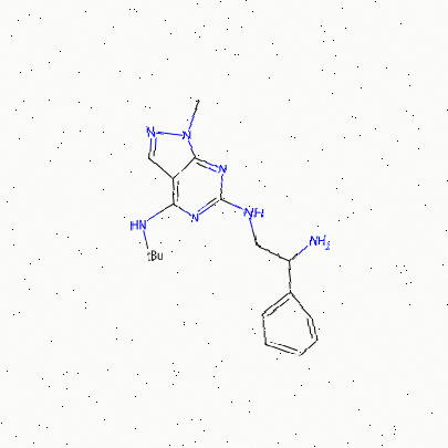 Cn1ncc2c(NC(C)(C)C)nc(NCC(N)c3ccccc3)nc21